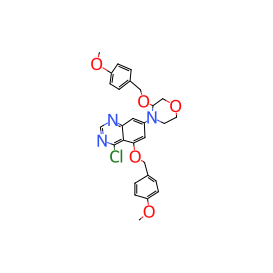 COc1ccc(COc2cc(N3CCOCC3OCc3ccc(OC)cc3)cc3ncnc(Cl)c23)cc1